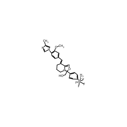 COc1cc(/C=C2\CCCN3C2=NOC3(CO)c2ccc(S(C)(F)(F)(F)F)cc2)ccc1-n1cnc(C)c1